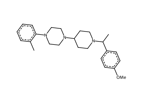 COc1ccc(C(C)N2CCC(N3CCN(c4ccccc4C)CC3)CC2)cc1